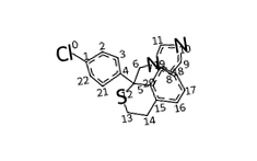 Clc1ccc(C2(Cn3ccnc3)SCCc3ccccc32)cc1